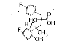 CC(C)(CC(O)(Cc1ccc(F)cc1)C(=O)O)c1cc(F)ccc1O